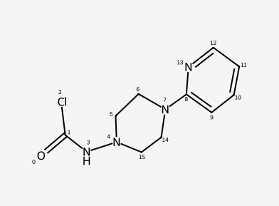 O=C(Cl)NN1CCN(c2ccccn2)CC1